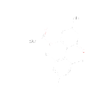 CCCC1CC(=O)C(c2c(CC)cc(C)cc2CC)=C(OC(=O)C(C)(C)C)C1